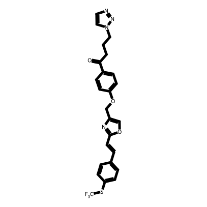 O=C(CCCn1ccnn1)c1ccc(OCc2coc(/C=C/c3ccc(SC(F)(F)F)cc3)n2)cc1